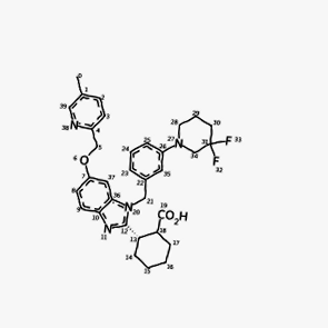 Cc1ccc(COc2ccc3nc([C@H]4CCCCC4C(=O)O)n(Cc4cccc(N5CCCC(F)(F)C5)c4)c3c2)nc1